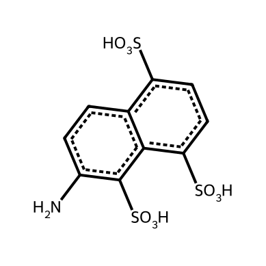 Nc1ccc2c(S(=O)(=O)O)ccc(S(=O)(=O)O)c2c1S(=O)(=O)O